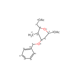 CC(=O)OCC1OC(OC(C)=O)CC(OCc2ccccc2)C1C